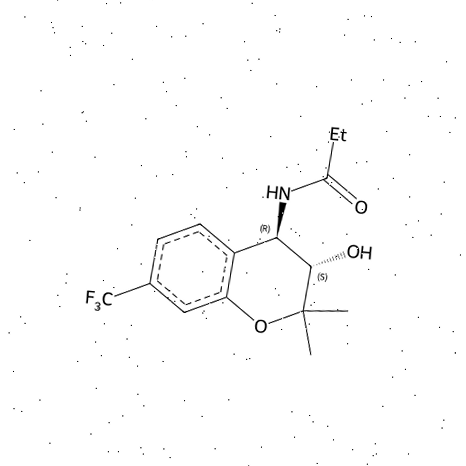 CCC(=O)N[C@@H]1c2ccc(C(F)(F)F)cc2OC(C)(C)[C@H]1O